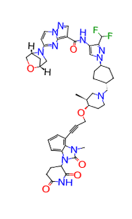 C[C@H]1CN(C[C@H]2CC[C@H](n3cc(NC(=O)c4cnn5ccc(N6C[C@H]7C[C@@H]6CO7)nc45)c(C(F)F)n3)CC2)CC[C@H]1OCC#Cc1cccc2c1n(C)c(=O)n2C1CCC(=O)NC1=O